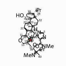 CNC(=O)c1ncnn1[C@@H]1C[C@@]23COC[C@](C)([C@@H]2CC[C@H]2C3=CC[C@@]3(C)[C@H](C(=O)O)[C@@](C)([C@H](C)C(C)C)CC[C@]23C)[C@H]1OC[C@](C)(NC)C(C)C